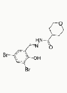 O=C(N/N=C/c1cc(Br)cc(Br)c1O)C1CCOCC1